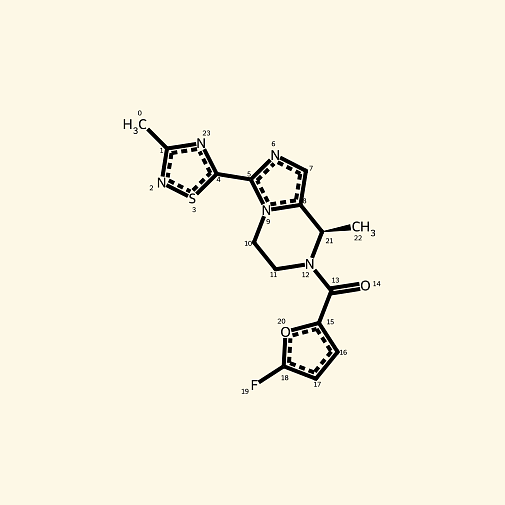 Cc1nsc(-c2ncc3n2CCN(C(=O)c2ccc(F)o2)[C@@H]3C)n1